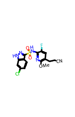 COc1nc(NS(=O)(=O)c2n[nH]c3cc(Cl)ccc23)c(F)cc1CCC#N